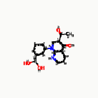 CC(=O)c1cn(-c2cccc(B(O)O)c2)c2ncccc2c1=O